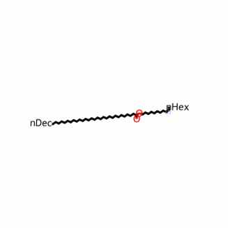 CCCCCC/C=C\CCCCCCCCOC(=O)CCCCCCCCCCCCCCCCCCCCCCCCCCCCCCCCCCCCCC